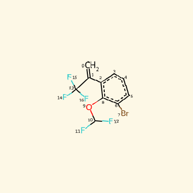 C=C(c1cccc(Br)c1OC(F)F)C(F)(F)F